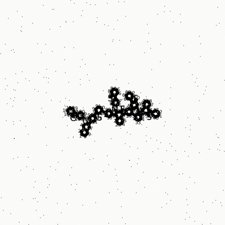 c1ccc2cc3c(cc2c1)c1cc2sc4c(-c5ccc6c7c8ccccc8c8c9cc(-c%10cccc%11c%12c%13sc%14ccccc%14c%13c%13ccccc%13c%12n(-c%12ccc%13c(c%12)sc%12ccccc%12%13)c%10%11)ccc9sc8c7n(-c7ccc8c(c7)sc7ccccc78)c6c5)cccc4c2cc1n3-c1ccc2c(c1)oc1ccccc12